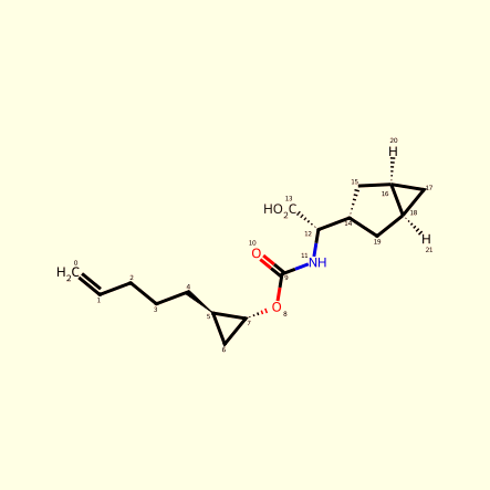 C=CCCC[C@@H]1C[C@H]1OC(=O)N[C@H](C(=O)O)[C@@H]1C[C@H]2C[C@H]2C1